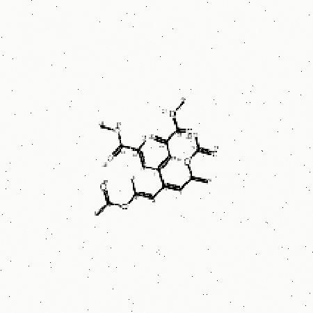 C=C(C=C(/C=C(\C)OC(C)=O)C(/C=C(\C)C(=O)OC)=C/C(=C)C(=O)OC)OC(C)=O